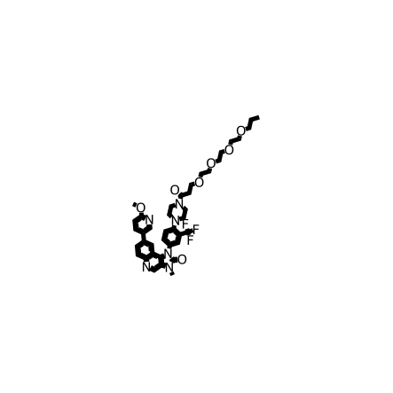 CCCOCCOCCOCCOCCC(=O)N1CCN(c2ccc(-n3c(=O)n(C)c4cnc5ccc(-c6ccc(OC)nc6)cc5c43)cc2C(F)(F)F)CC1